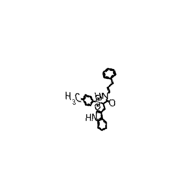 Cc1ccc(S(=O)(=O)C(Cc2c[nH]c3ccccc23)C(=O)NCCCc2ccccc2)cc1